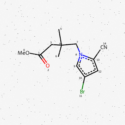 COC(=O)CC(C)(C)Cn1cc(Br)cc1C#N